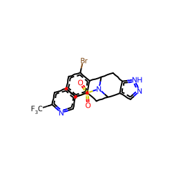 O=S(=O)(c1ccc(C(F)(F)F)nc1)N1C2Cc3cccc(Br)c3C1Cc1[nH]ncc12